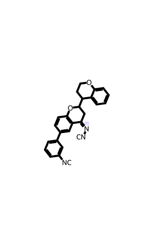 [C-]#[N+]/N=C1/CC(C2CCOc3ccccc32)Oc2ccc(-c3cccc([N+]#[C-])c3)cc21